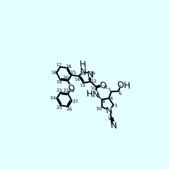 N#CN1CC(CCO)[C@H](NC(=O)c2cc(C3=CCCC=C3Oc3ccccc3)[nH]n2)C1